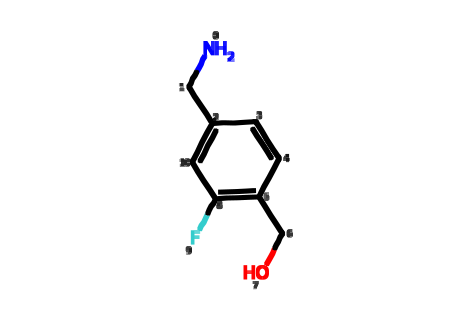 NCc1ccc(CO)c(F)c1